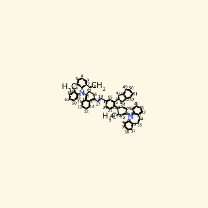 C=Cc1ccccc1N(C1=c2ccccc2=C(/C=C/c2ccc(C3C=CC(N4c5ccccc5C=Cc5ccccc54)=CC3C)c(C3Cc4ccccc4C3)c2)CC1)c1ccccc1C